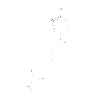 CCCCc1ccc(S(=O)(=O)N(C)c2ccc3c(c2)CCN(C(=O)C(F)(F)F)CC3)cc1